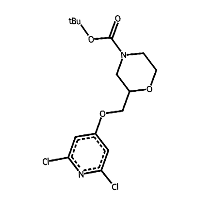 CC(C)(C)OC(=O)N1CCOC(COc2cc(Cl)nc(Cl)c2)C1